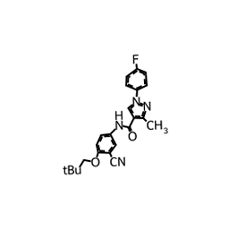 Cc1nn(-c2ccc(F)cc2)cc1C(=O)Nc1ccc(OCC(C)(C)C)c(C#N)c1